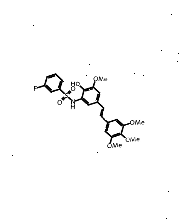 COc1cc(C=Cc2cc(OC)c(OC)c(OC)c2)cc(NS(=O)(=O)c2cccc(F)c2)c1O